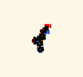 C[C@@H]1C(=O)N(C)c2cc(-c3ccncc3)ccc2C(=O)N1Cc1cc(F)cc(C(=O)NC2CC(O)C2)c1